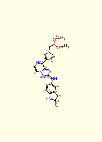 COC(Cn1cc(-c2nccn3nc(Nc4ccc5c(c4)CC(=O)N5)nc23)cn1)OC